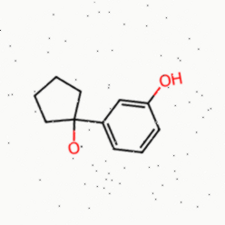 [O]C1(c2cccc(O)c2)CCCC1